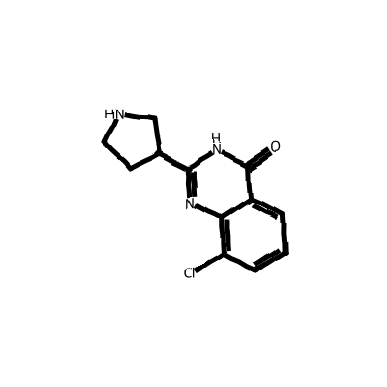 O=c1[nH]c(C2CCNC2)nc2c(Cl)cccc12